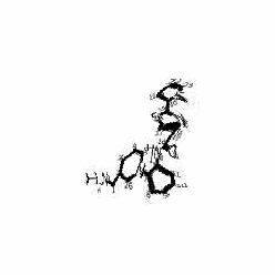 NCC1CCCN(c2ccccc2NC(=O)c2csc(-c3cccs3)n2)C1